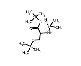 C[Si](C)(C)NC(CO[Si](C)(C)C)C(=O)O[Si](C)(C)C